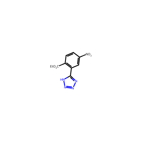 CCOC(=O)c1ccc([N+](=O)[O-])cc1-c1nnn[nH]1